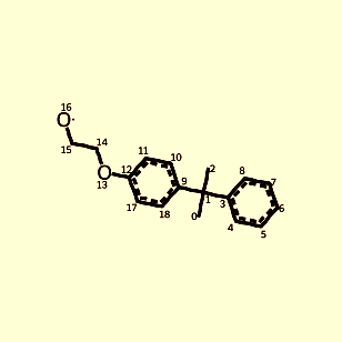 CC(C)(c1ccccc1)c1ccc(OCC[O])cc1